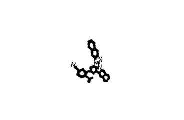 CC(C)c1ccc(C#N)cc1-c1cc2c3cc4ccccc4cc3n3c2c(c1)n1c2cc4ccccc4cc2nc13